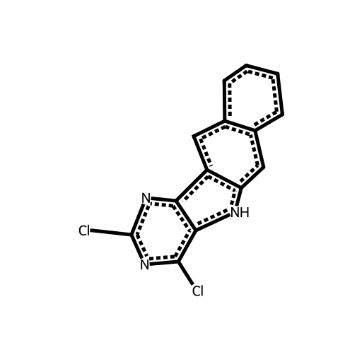 Clc1nc(Cl)c2[nH]c3cc4ccccc4cc3c2n1